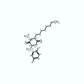 CCCCCCCCN1C(=O)[C@H](Cc2ccc(I)cc2)N(C)C(=O)[C@@H]1C